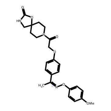 COc1ccc(O/N=C(/C)c2ccc(OCC(=O)N3CCC4(CC3)CNC(=O)O4)cc2)cc1